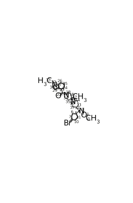 CCON=C(c1ccc(Br)cc1)C1CCN(C2(C)CCN(C(=O)c3cccc4c3ccn4CC)CC2)CC1